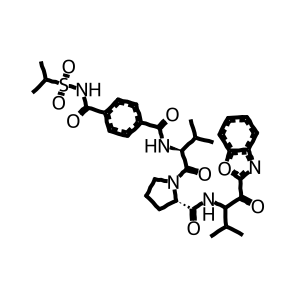 CC(C)C(NC(=O)[C@@H]1CCCN1C(=O)[C@@H](NC(=O)c1ccc(C(=O)NS(=O)(=O)C(C)C)cc1)C(C)C)C(=O)c1nc2ccccc2o1